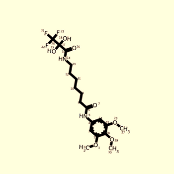 COc1cc(NC(=O)CCCCCCNC(=O)C(O)(O)C(F)(F)F)cc(OC)c1OC